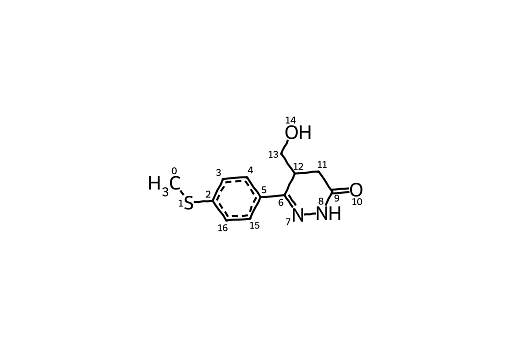 CSc1ccc(C2=NNC(=O)CC2CO)cc1